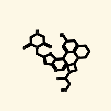 CC(C)(C)OC(=O)N1CC(N2CCCc3cc(Cl)cc(-c4ccnc5cc(CN6C(=O)CNCC6=O)sc45)c32)C1